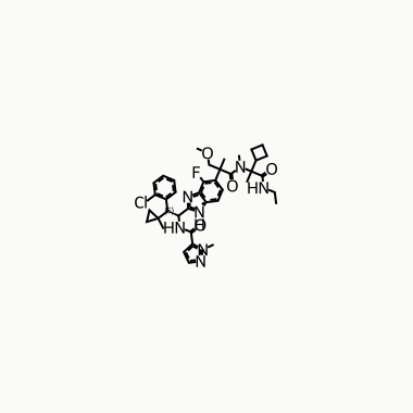 CCNC(=O)C(C)(C1CCC1)N(C)C(=O)C(C)(COC)c1ccc2[nH]c(C(NC(=O)c3ccnn3C)[C@H](c3ccccc3Cl)C3(C)CC3)nc2c1F